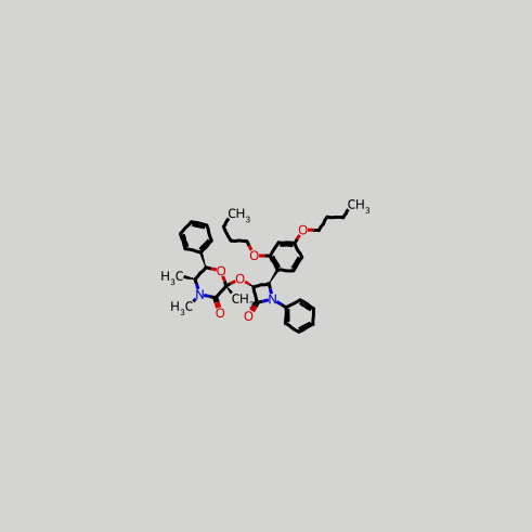 CCCCOc1ccc([C@@H]2[C@H](O[C@@]3(C)O[C@H](c4ccccc4)[C@H](C)N(C)C3=O)C(=O)N2c2ccccc2)c(OCCCC)c1